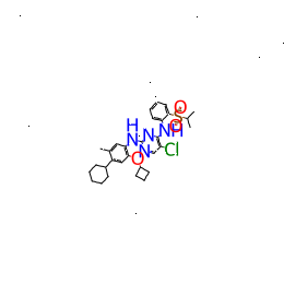 Cc1cc(Nc2ncc(Cl)c(Nc3ccccc3S(=O)(=O)C(C)C)n2)c(OC2CCC2)cc1C1CCCCC1